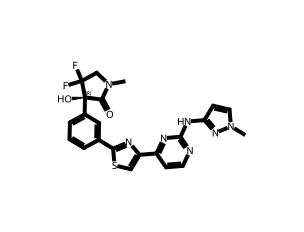 CN1CC(F)(F)[C@@](O)(c2cccc(-c3nc(-c4ccnc(Nc5ccn(C)n5)n4)cs3)c2)C1=O